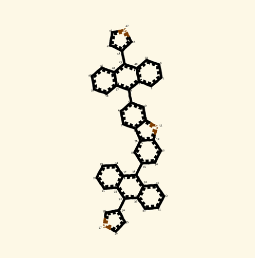 c1ccc2c(-c3ccc4c(c3)sc3ccc(-c5c6ccccc6c(-c6ccsc6)c6ccccc56)cc34)c3ccccc3c(-c3ccsc3)c2c1